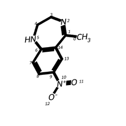 CC1=NCCNc2ccc([N+](=O)[O-])cc21